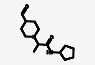 CC(C(=O)NC1CCCC1)N1CCC(C=O)CC1